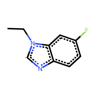 CCn1[c]nc2ccc(F)cc21